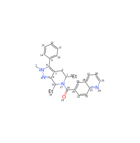 CCC1Cc2c(nn(C)c2-c2ccccc2)C(CC)N1C(=O)c1ccc2ncccc2c1